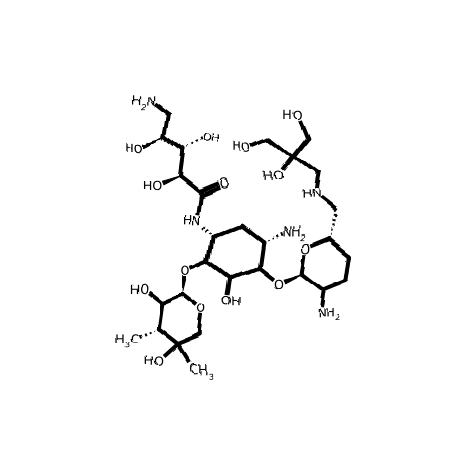 C[C@@H]1C(O)[C@@H](OC2C(O)C(O[C@H]3O[C@H](CNCC(O)(CO)CO)CCC3N)[C@@H](N)C[C@H]2NC(=O)[C@@H](O)[C@@H](O)[C@@H](O)CN)OCC1(C)O